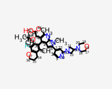 Cc1nc2c(cc(-c3ccnc(N4CC(N5CCOCC5)C4)c3)n2C)c(-c2cc(F)c3c(c2C)CCCO3)c1[C@H](OC(C)(C)C)C(=O)O